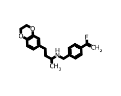 C=C(F)c1ccc(CNC(C)CCc2ccc3c(c2)OCCO3)cc1